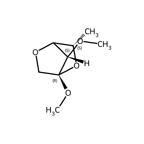 CO[C@H]1C2OC[C@@]1(OC)O[C@H]2C